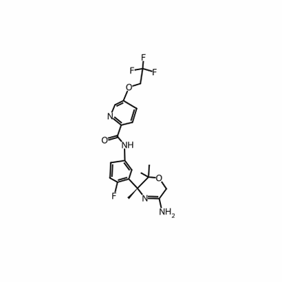 CC1(C)OCC(N)=N[C@]1(C)c1cc(NC(=O)c2ccc(OCC(F)(F)F)cn2)ccc1F